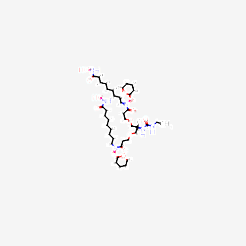 CCNC(=O)NC(C)(COCCC(=O)N(CCCCCCCCC(=O)NO)OC1CCCCO1)COCCC(=O)N(CCCCCCCCC(=O)NO)OC1CCCCO1